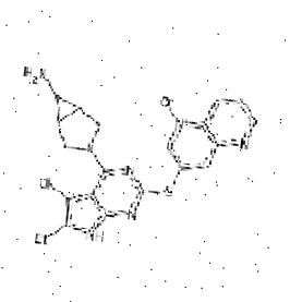 CCc1[nH]c2nc(Sc3cc4ncccc4[n+]([O-])c3)nc(N3CC4C(N)C4C3)c2c1Cl